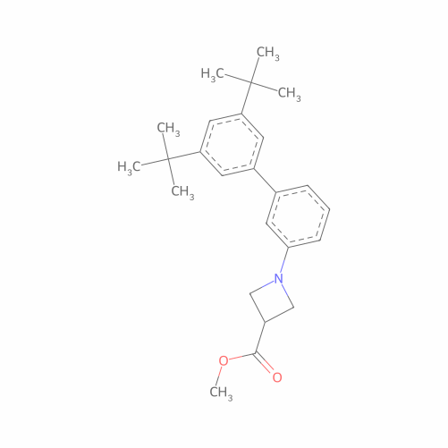 COC(=O)C1CN(c2cccc(-c3cc(C(C)(C)C)cc(C(C)(C)C)c3)c2)C1